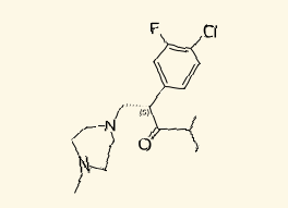 CC(C)C(=O)[C@H](CN1CCN(C)CC1)c1ccc(Cl)c(F)c1